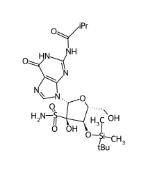 CC(C)C(=O)Nc1nc2c(ncn2[C@@H]2O[C@H](CO)[C@@H](O[Si](C)(C)C(C)(C)C)[C@]2(O)S(N)(=O)=O)c(=O)[nH]1